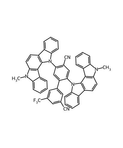 Cn1c2ccccc2c2c1ccc1c3ccccc3n(-c3cc(-c4cc(C#N)cc(C(F)(F)F)c4)c(-n4c5ccccc5c5ccc6c(c7ccccc7n6C)c54)cc3C#N)c12